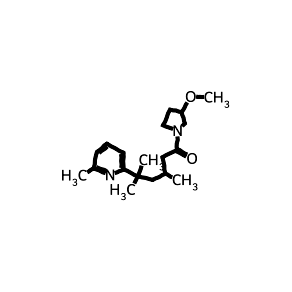 COC1CCN(C(=O)CC(C)CC(C)(C)c2cccc(C)n2)C1